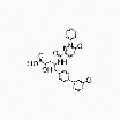 O=C(NC(Cc1ccc(-c2cccc(Cl)c2)cc1)CC(O)C(=O)O)c1ccc(=O)n(-c2ccccc2)n1